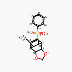 O=[N+]([O-])C1C2C=CC(C3OCOC23)C1S(=O)(=O)c1ccccc1